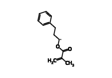 C=C(C)C(=O)O[CH]CCc1ccccc1